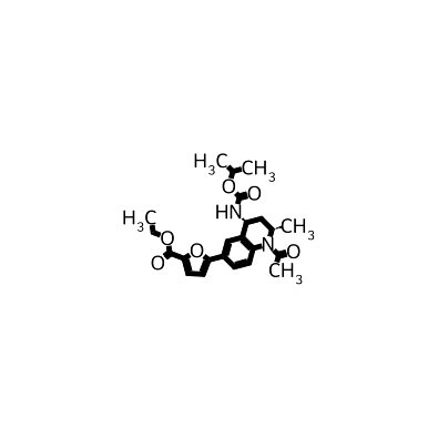 CCOC(=O)c1ccc(-c2ccc3c(c2)[C@H](NC(=O)OC(C)C)C[C@H](C)N3C(C)=O)o1